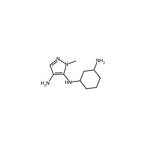 Cn1ncc(N)c1NC1CCCC(N)C1